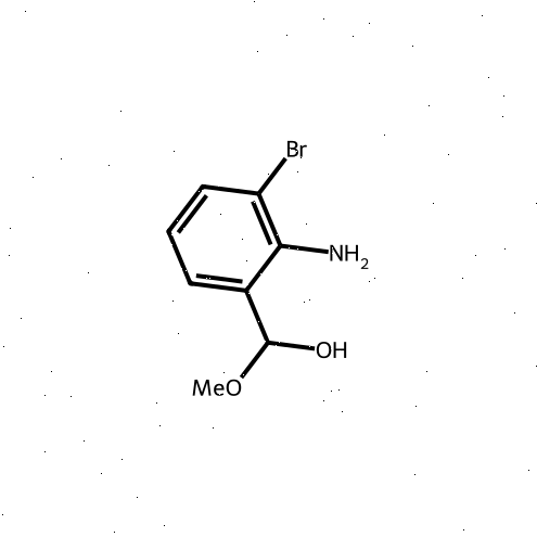 COC(O)c1cccc(Br)c1N